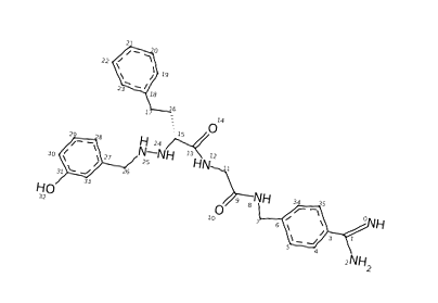 N=C(N)c1ccc(CNC(=O)CNC(=O)[C@@H](CCc2ccccc2)NNCc2cccc(O)c2)cc1